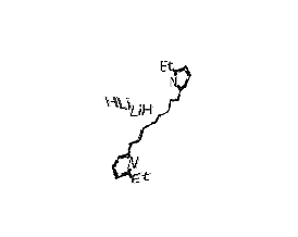 CCc1cccc(CCCCCCCCc2cccc(CC)n2)n1.[LiH].[LiH]